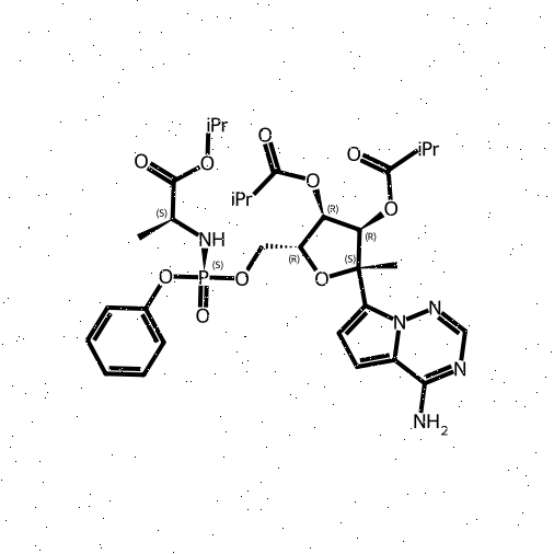 CC(C)OC(=O)[C@H](C)N[P@](=O)(OC[C@H]1O[C@@](C)(c2ccc3c(N)ncnn23)[C@H](OC(=O)C(C)C)[C@@H]1OC(=O)C(C)C)Oc1ccccc1